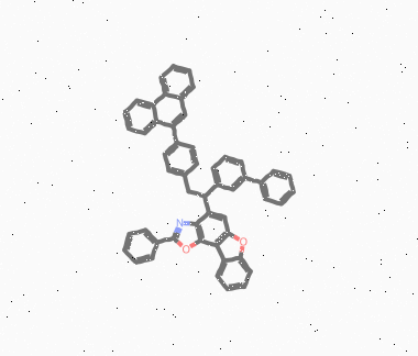 c1ccc(-c2cccc(C(Cc3ccc(-c4cc5ccccc5c5ccccc45)cc3)c3cc4oc5ccccc5c4c4oc(-c5ccccc5)nc34)c2)cc1